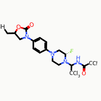 CC(=O)NCC1CN(c2ccc(N3CCN(C(NC(=O)C(Cl)(Cl)Cl)C(Cl)(Cl)Cl)[C@@H](F)C3)cc2)C(=O)O1